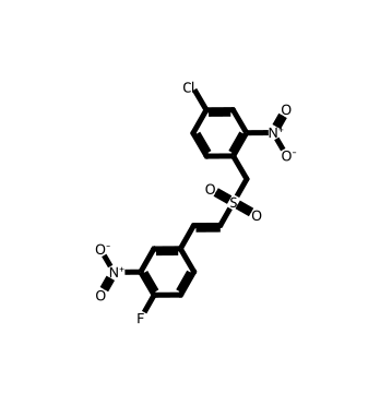 O=[N+]([O-])c1cc(C=CS(=O)(=O)Cc2ccc(Cl)cc2[N+](=O)[O-])ccc1F